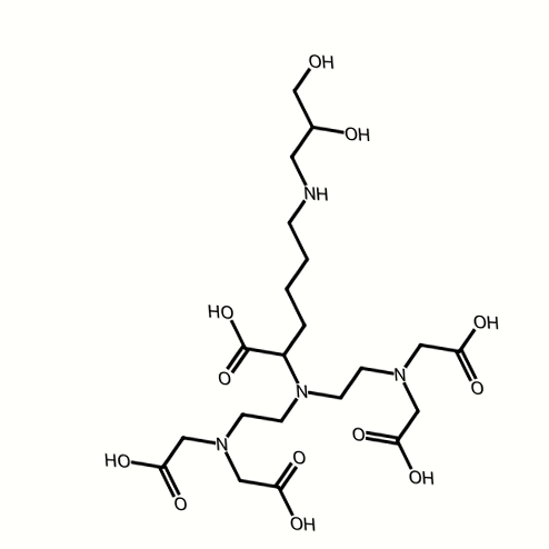 O=C(O)CN(CCN(CCN(CC(=O)O)CC(=O)O)C(CCCCNCC(O)CO)C(=O)O)CC(=O)O